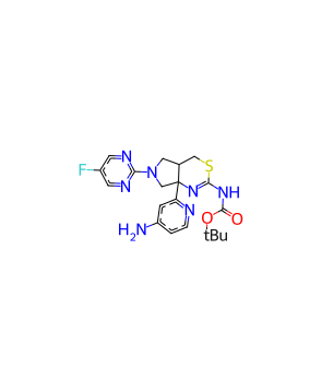 CC(C)(C)OC(=O)NC1=NC2(c3cc(N)ccn3)CN(c3ncc(F)cn3)CC2CS1